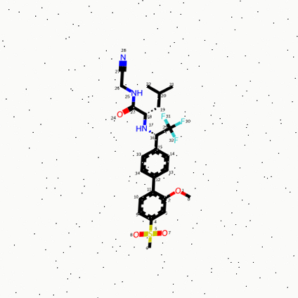 COc1cc(S(C)(=O)=O)ccc1-c1ccc([C@H](N[C@@H](CC(C)C)C(=O)NCC#N)C(F)(F)F)cc1